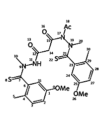 COc1ccc(C)c(C(=S)N(C)NC(=O)CC(=O)N(C(C)=O)N(C)C(=S)c2cc(OC)ccc2C)c1